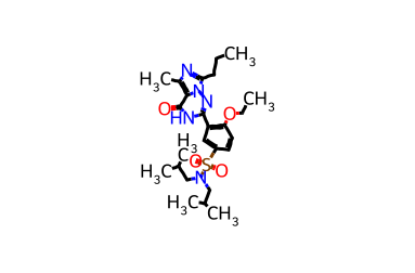 CCCc1nc(C)c2c(=O)[nH]c(-c3cc(S(=O)(=O)N(CC(C)C)CC(C)C)ccc3OCC)nn12